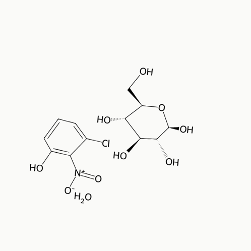 O.O=[N+]([O-])c1c(O)cccc1Cl.OC[C@H]1O[C@@H](O)[C@H](O)[C@@H](O)[C@@H]1O